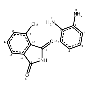 Nc1ccccc1N.O=C1NC(=O)c2c(Cl)cccc21